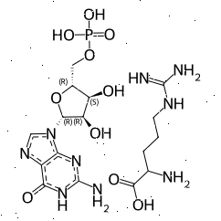 N=C(N)NCCCC(N)C(=O)O.Nc1nc2c(ncn2[C@@H]2O[C@H](COP(=O)(O)O)[C@@H](O)[C@H]2O)c(=O)[nH]1